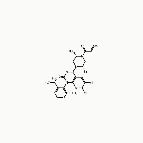 C=CC(=O)N1C[C@H](C)N(c2nc(=O)n(-c3c(C)ccnc3C(C)C)c3nc(Cl)c(Cl)cc23)C[C@H]1C